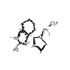 CC(=O)O.NN1C=NCC1.Sc1nc2ccccc2s1